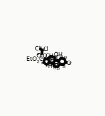 CCOC(=O)[C@@]1(OC(=O)C(Cl)Cl)CC[C@H]2[C@@H]3CCC4=CC(=O)CC[C@]4(C)[C@@]3(F)[C@@H](O)C[C@@]21C